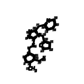 Cc1ccc(CSc2nnc(Cc3ccccn3)n2Cc2ccco2)cc1CF